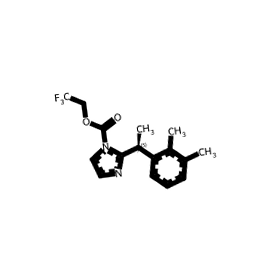 Cc1cccc([C@H](C)c2nccn2C(=O)OCC(F)(F)F)c1C